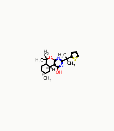 C[C@@H]1CCC2[C@@H](C1)c1c(O)nc(C(C)(C)c3cccs3)nc1OC2(C)C